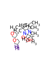 C1CCOC1.C1CCOC1.CCC(C)(C)C1=NC(C(=O)O)(C(C)(C)C)N=C1C(C)(C)CC.I.I